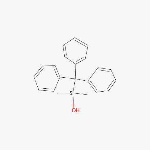 C[Si](C)(O)C(c1ccccc1)(c1ccccc1)c1ccccc1